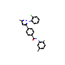 COc1ccc(C)cc1NC(=O)c1ccc(-c2cc(C(F)(F)F)nn2-c2ccccc2Cl)cc1